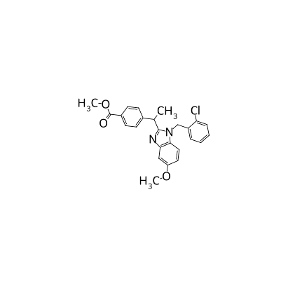 COC(=O)c1ccc(C(C)c2nc3cc(OC)ccc3n2Cc2ccccc2Cl)cc1